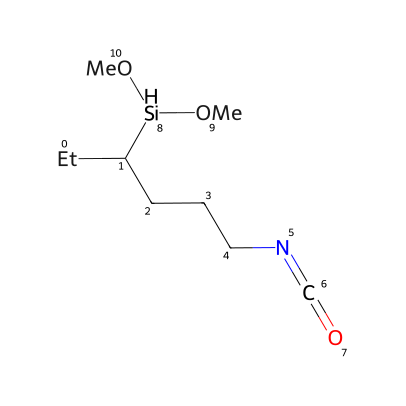 CCC(CCCN=C=O)[SiH](OC)OC